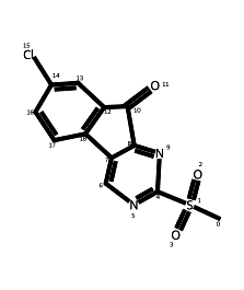 CS(=O)(=O)c1ncc2c(n1)C(=O)c1cc(Cl)ccc1-2